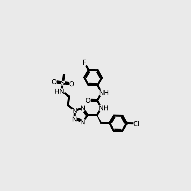 CS(=O)(=O)NCCn1nnc([C@H](Cc2ccc(Cl)cc2)NC(=O)Nc2ccc(F)cc2)n1